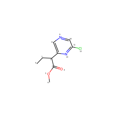 CCC(C(=O)OC)c1cncc(Cl)n1